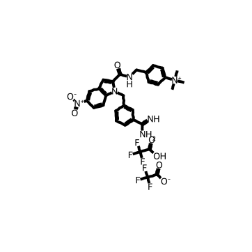 C[N+](C)(C)c1ccc(CNC(=O)c2cc3cc([N+](=O)[O-])ccc3n2Cc2cccc(C(=N)N)c2)cc1.O=C(O)C(F)(F)F.O=C([O-])C(F)(F)F